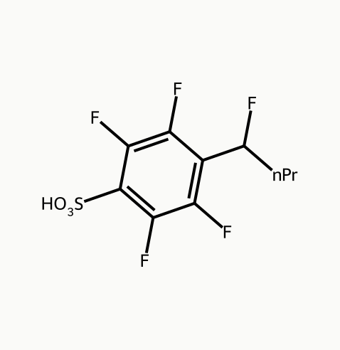 CCCC(F)c1c(F)c(F)c(S(=O)(=O)O)c(F)c1F